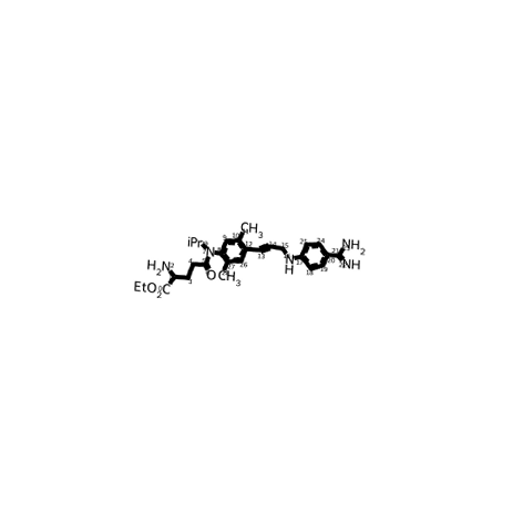 CCOC(=O)C(N)CCC(=O)N(c1cc(C)c(C#CCNc2ccc(C(=N)N)cc2)cc1C)C(C)C